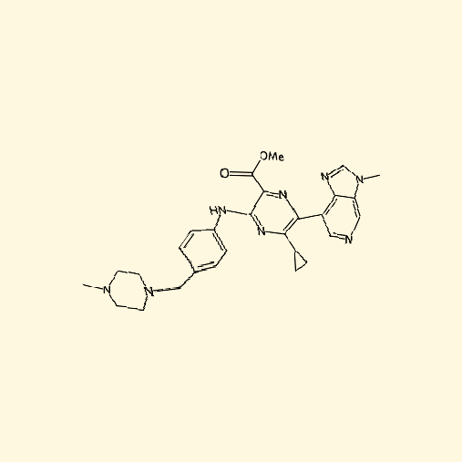 COC(=O)c1nc(-c2cncc3c2ncn3C)c(C2CC2)nc1Nc1ccc(CN2CCN(C)CC2)cc1